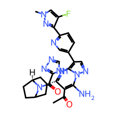 CC(=O)c1c([C@@H]2CC3CC[C@@H](C2)N3C(=O)c2nnc[nH]2)nc2c(-c3ccc(-c4nn(C)cc4F)nc3)cnn2c1N